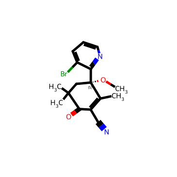 CO[C@@]1(c2ncccc2Br)CC(C)(C)C(=O)C(C#N)=C1C